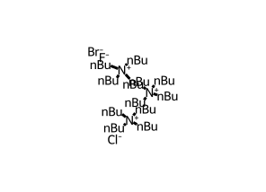 CCCC[N+](CCCC)(CCCC)CCCC.CCCC[N+](CCCC)(CCCC)CCCC.CCCC[N+](CCCC)(CCCC)CCCC.[Br-].[Cl-].[F-]